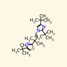 CC(C)(C)c1csc(C(C)(C)CCn2cc(C(C)(C)C)nc2C(C)(C)C)n1